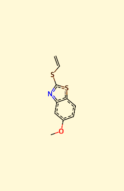 C=CSc1nc2cc(OC)ccc2s1